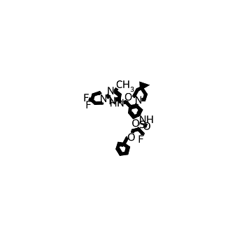 Cc1cc(NC(=O)c2ccc(NS(=O)(=O)C(CF)COCc3ccccc3)cc2N2CCC3(CC2)CC3)nc(N2CCC(F)(F)CC2)n1